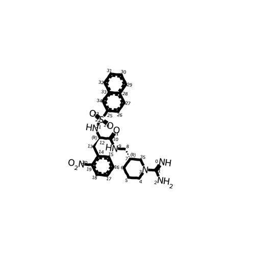 N=C(N)N1CCC[C@H](CNC(=O)[C@@H](Cc2ccccc2[N+](=O)[O-])NS(=O)(=O)c2ccc3ccccc3c2)C1